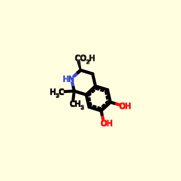 CC1(C)N[C@@H](C(=O)O)Cc2cc(O)c(O)cc21